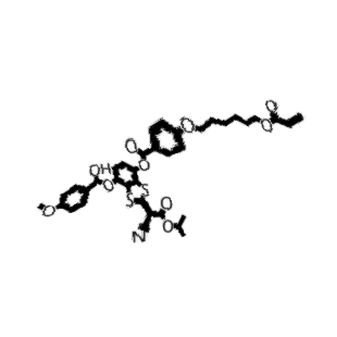 C=CC(=O)OCCCCCCOc1ccc(C(=O)Oc2ccc(OC(O)c3ccc(OC)cc3)c3c2S/C(=C(/C#N)C(=O)OC(C)C)S3)cc1